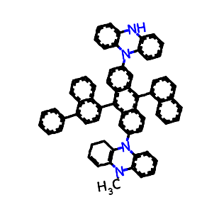 CN1C2=C(CCC=C2)N(c2ccc3c(-c4cccc5ccccc45)c4cc(N5c6ccccc6Nc6ccccc65)ccc4c(-c4ccc(-c5ccccc5)c5ccccc45)c3c2)c2ccccc21